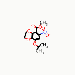 COC(=O)c1c([N+](=O)[O-])cc(OC(C)C)c2c1OCCO2